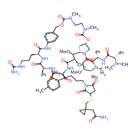 CC[C@H](C)[C@@H]([C@@H](CC(=O)N1C[C@@H](OC(=O)N(C)CCN(C)C(=O)OCc2ccc(NC(=O)[C@H](CCCNC(N)=O)NC(=O)[C@@H](NC(=O)CCCCCN3C(=O)CC(SCC4(CC(N)=O)CC4)C3=O)C(C)C)cc2)C[C@H]1[C@H](OC)[C@@H](C)C(=O)NCC(=O)c1ccc(C)cc1C)OC)N(C)C(=O)[C@@H](NC(=O)[C@H](C(C)C)N(C)C)C(C)C